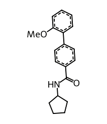 COc1ccccc1-c1ccc(C(=O)NC2CCCC2)cc1